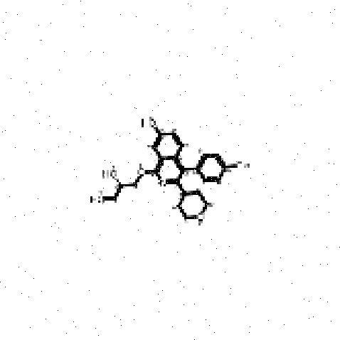 OC[C@H](O)COc1nc(C2CCOCC2)c(-c2ccc(F)cc2)c2ccc(O)cc12